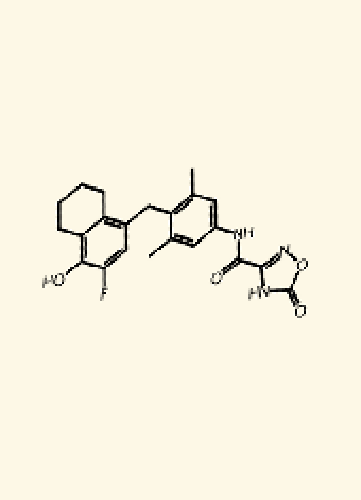 Cc1cc(NC(=O)c2noc(=O)[nH]2)cc(C)c1Cc1cc(F)c(O)c2c1CCCC2